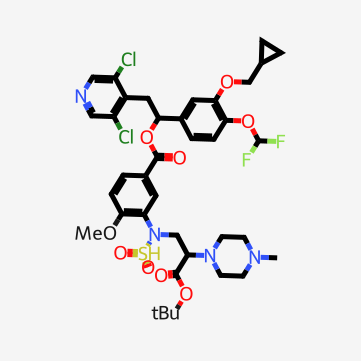 COc1ccc(C(=O)OC(Cc2c(Cl)cncc2Cl)c2ccc(OC(F)F)c(OCC3CC3)c2)cc1N(CC(C(=O)OC(C)(C)C)N1CCN(C)CC1)[SH](=O)=O